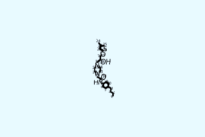 CCCCc1ccc(NC(=O)CN2CCN(CC(O)COc3cc(C)cs3)CC2)cc1